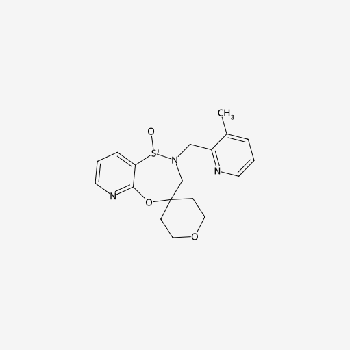 Cc1cccnc1CN1CC2(CCOCC2)Oc2ncccc2[S+]1[O-]